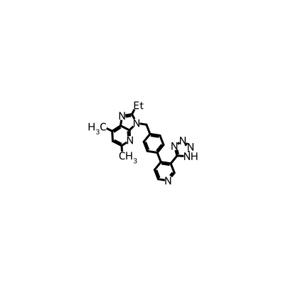 CCc1nc2c(C)cc(C)nc2n1Cc1ccc(-c2ccncc2-c2nnn[nH]2)cc1